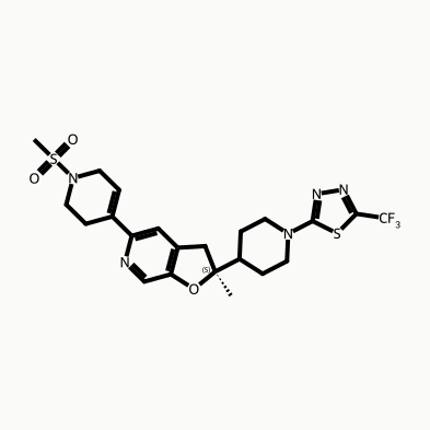 C[C@@]1(C2CCN(c3nnc(C(F)(F)F)s3)CC2)Cc2cc(C3=CCN(S(C)(=O)=O)CC3)ncc2O1